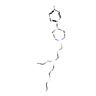 SCCNCCN(CCS)CCCN1CCC(c2ccc(Cl)cc2)CC1